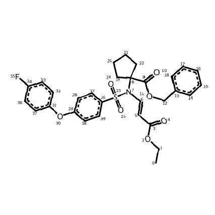 CCOC(=O)/C=C/N(C1(C(=O)OCc2ccccc2)CCCC1)S(=O)(=O)c1ccc(Oc2ccc(F)cc2)cc1